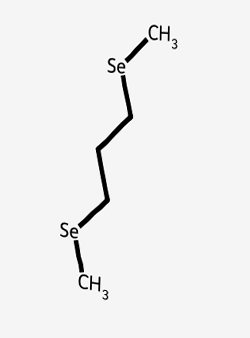 C[Se]CCC[Se]C